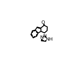 O=C1CCCC2C1=Cc1ccccc12.c1c[nH]nn1